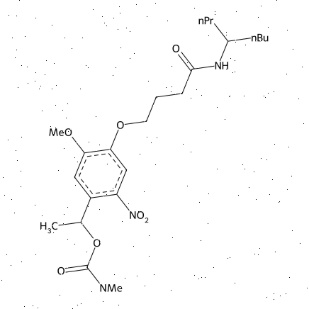 CCCCC(CCC)NC(=O)CCCOc1cc([N+](=O)[O-])c(C(C)OC(=O)NC)cc1OC